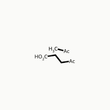 CC(=O)CCC(=O)O.CC(C)=O